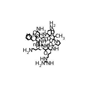 CCCCN[C@@H](CCCCN)C(=O)C(=O)[C@H](CCCNC(=N)N)NC(=O)[C@@H]1CCCN1C(=O)C(C)NC(=O)[C@H](CC(N)=O)NC(=O)[C@H](CCC(N)=O)NN[C@@H](Cc1ccccc1)C(N)=O